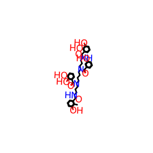 Cc1c(O)cccc1C(=O)NCCCN(CCCCN(CCCNC(=O)c1cccc(O)c1O)C(=O)c1cccc(O)c1)C(=O)c1cccc(O)c1O